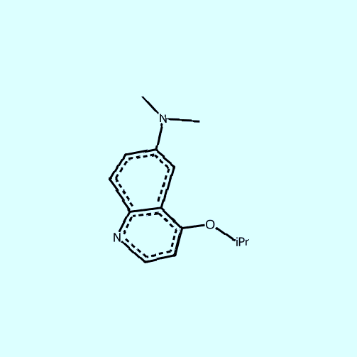 CC(C)Oc1ccnc2ccc(N(C)C)cc12